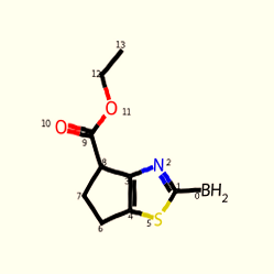 Bc1nc2c(s1)CCC2C(=O)OCC